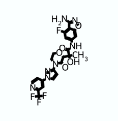 CC(O)(C(=O)Nc1cc(F)c2c(N)noc2c1)C1OCCN(c2ccn(-c3ccnc(C(F)(F)F)c3)n2)C1=O